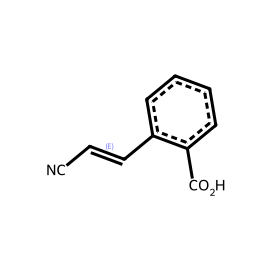 N#C/C=C/c1ccccc1C(=O)O